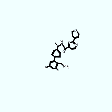 C[C@@H](NC(=O)c1ccnc(C2=CCOCC2)n1)c1ccc(-c2cc(F)cc(F)c2CN)cc1